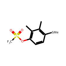 CSc1ccc(OS(=O)(=O)C(F)(F)F)c(C)c1C